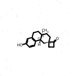 C[C@@]12CCc3cc(O)ccc3[C@H]1C[C@@]1(CCC1=O)CC2